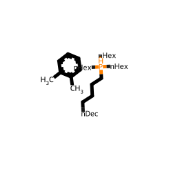 CCCCCCCCCCCCCC[PH](CCCCCC)(CCCCCC)CCCCCC.Cc1ccccc1C